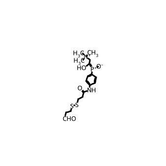 C[N+](C)(C)C/C(O)=[P+](\[O-])c1ccc(NC(=O)CCSSCCC=O)cc1